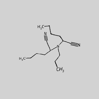 CCCCC(C#N)N(CCC)C(C#N)CCCC